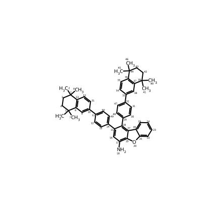 CC1(C)CCC(C)(C)c2cc(-c3ccc(-c4cc(N)c5oc6ccccc6c5c4-c4ccc(-c5ccc6c(c5)C(C)(C)CCC6(C)C)cc4)cc3)ccc21